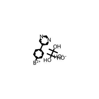 CC(C)(O)C(C)(C)O.[B+2]c1ccc(-c2cncnc2)cc1.[OH-].[OH-]